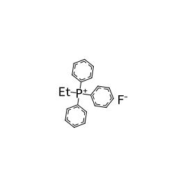 CC[P+](c1ccccc1)(c1ccccc1)c1ccccc1.[F-]